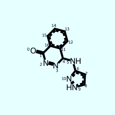 O=C1N=NC(Nc2cc[nH]n2)c2ccccc21